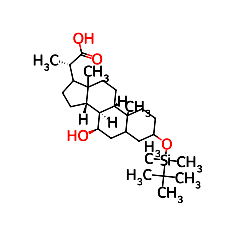 C[C@H](C(=O)O)C1CC[C@H]2[C@@H]3[C@H](O)CC4CC(O[Si](C)(C)C(C)(C)C)CCC4(C)[C@H]3CCC12C